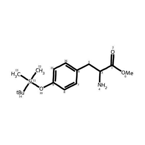 COC(=O)C(N)Cc1ccc(O[Si](C)(C)C(C)(C)C)cc1